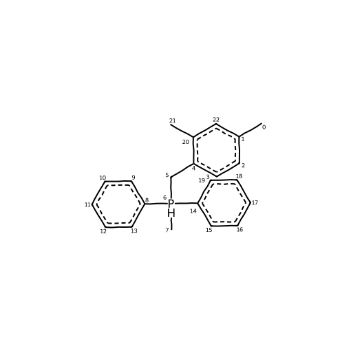 Cc1ccc(C[PH](C)(c2ccccc2)c2ccccc2)c(C)c1